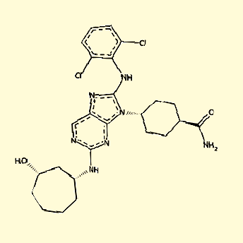 NC(=O)[C@H]1CC[C@H](n2c(Nc3c(Cl)cccc3Cl)nc3cnc(N[C@@H]4CCCC[C@H](O)C4)nc32)CC1